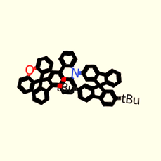 CC(C)(C)c1ccc2c(c1)C1(c3ccccc3-c3ccc(N(c4ccccc4)c4ccccc4-c4ccc5c(c4)C4(c6ccccc6Oc6ccccc64)c4ccccc4-5)cc31)c1cc(C(C)(C)C)ccc1-2